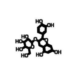 OCC1OC(OC2Cc3c(O)cc(O)cc3OC2c2ccc(O)c(O)c2)C(O)C(O)C1O